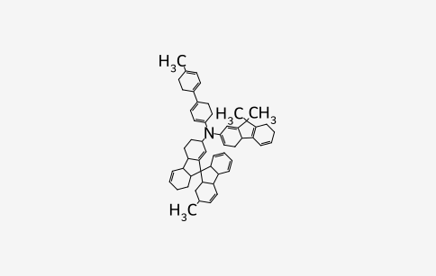 CC1=CC=C(C2=CC=C(N(C3=CCC4C(=C3)C(C)(C)C3=C4C=CCC3)C3C=C4C(CC3)C3C=CCCC3C43C4C=CC=CC4C4C=CC(C)CC43)CC2)CC1